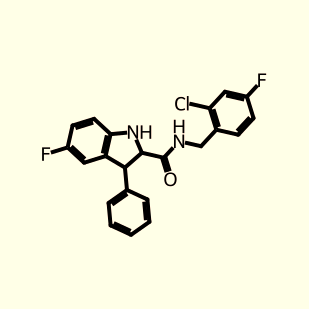 O=C(NCc1ccc(F)cc1Cl)C1Nc2ccc(F)cc2C1c1ccccc1